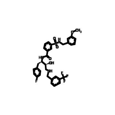 COc1cccc(CNS(=O)(=O)c2cccc(C(=O)N[C@@H](Cc3ccc(F)cc3)[C@H](O)CNCc3cccc(C(F)(F)F)c3)c2)c1